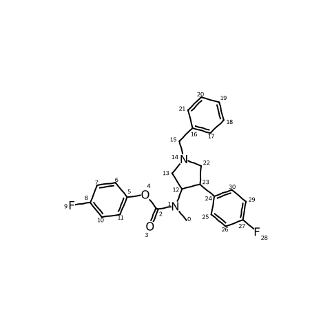 CN(C(=O)Oc1ccc(F)cc1)C1CN(Cc2ccccc2)CC1c1ccc(F)cc1